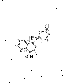 N#Cc1ccc(Nc2cccc(Cl)c2)c2ccccc12